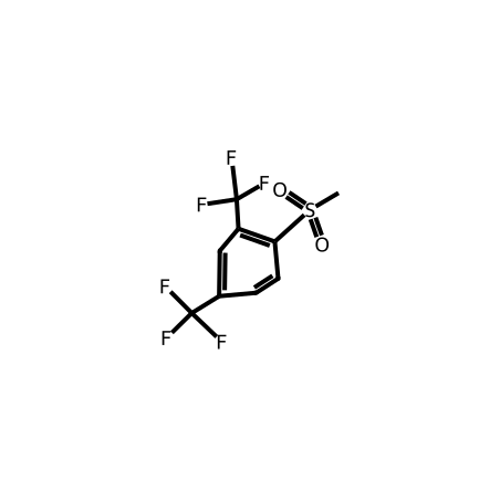 CS(=O)(=O)c1ccc(C(F)(F)F)cc1C(F)(F)F